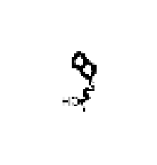 C[C@@H](O)/C=C/Sc1ccc2ccccc2c1